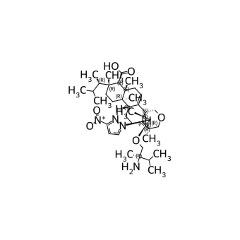 CC(C)[C@@H](C)[C@@]1(C)CC[C@]2(C)[C@H]3CC[C@H]4[C@]5(C)COC[C@]4(C3=CC[C@@]2(C)[C@@H]1C(=O)O)[C@H](C)[C@@H](n1ccc([N+](=O)[O-])n1)[C@@H]5OC[C@](C)(N)C(C)C